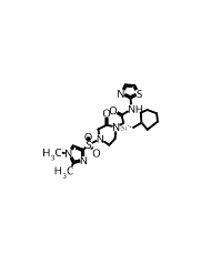 Cc1nc(S(=O)(=O)N2CCN([C@@H](CC3CCCCC3)C(=O)Nc3nccs3)C(=O)C2)cn1C